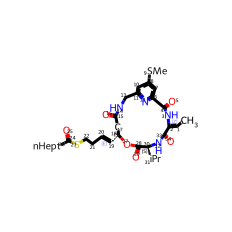 C/C=C1\NC(=O)c2cc(SC)cc(n2)CNC(=O)C[C@@H](/C=C/CCSC(=O)CCCCCCC)OC(=O)[C@H](C(C)C)NC1=O